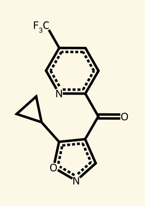 O=C(c1ccc(C(F)(F)F)cn1)c1cnoc1C1CC1